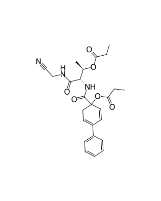 CCC(=O)O[C@H](C)[C@H](NC(=O)C1(OC(=O)CC)C=CC(c2ccccc2)=CC1)C(=O)NCC#N